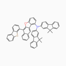 CC1(C)c2ccccc2-c2ccc(N(c3ccc4c(c3)C(C)(C)c3ccccc3-4)c3cccc4oc5c(-c6cccc7c6sc6ccccc67)c6ccccc6cc5c34)cc21